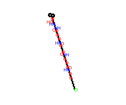 O=C(NCCOCCOCCOC(=O)NCCNC[C@H](O)COc1cccc2ccccc12)OC/C=C/COC(=O)NCCOCCOCCOC(=O)NCCOCCOCCCCCCCCCl